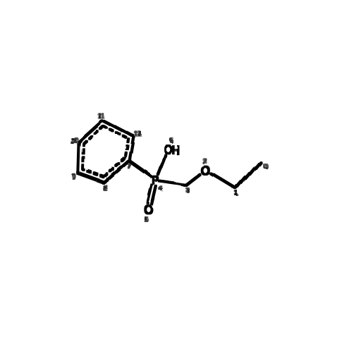 CCOCP(=O)(O)c1ccccc1